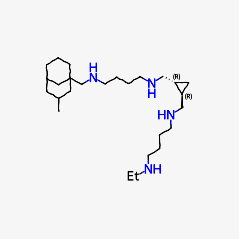 CCNCCCCNC[C@@H]1C[C@H]1CNCCCCNCC12CCCC(CC(C)C1)C2